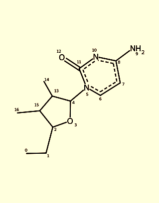 CCC1OC(n2ccc(N)nc2=O)C(C)C1C